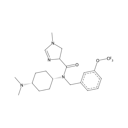 CN1C=NC(C(=O)N(Cc2cccc(OC(F)(F)F)c2)[C@H]2CC[C@@H](N(C)C)CC2)C1